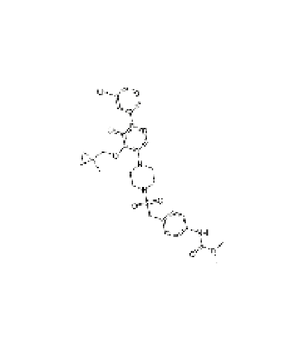 CN(C)C(=O)Nc1ccc(CS(=O)(=O)N2CCN(c3cnn(-c4cccc(Cl)c4)c(=O)c3OCC3(C)CC3)CC2)cc1